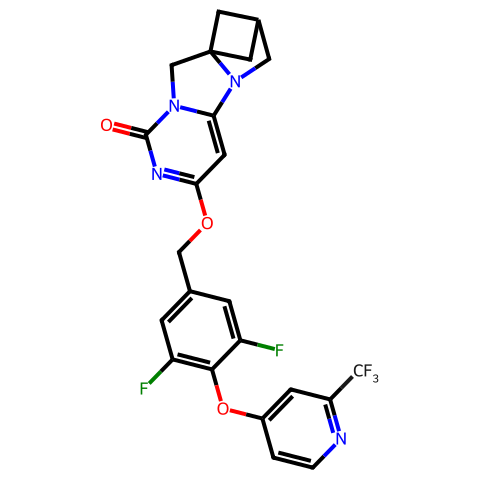 O=c1nc(OCc2cc(F)c(Oc3ccnc(C(F)(F)F)c3)c(F)c2)cc2n1CC13CC(CN21)C3